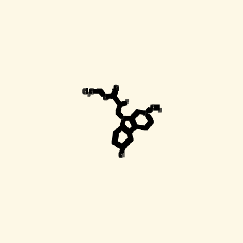 CN1CCc2c(n(CC(F)C(=O)OCC(Cl)(Cl)Cl)c3ccc(Cl)cc23)C1